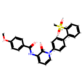 COc1ccc(C(=O)Nc2cccn(-c3ccc(-c4ccccc4S(C)(=O)=O)cc3)c2=O)cc1